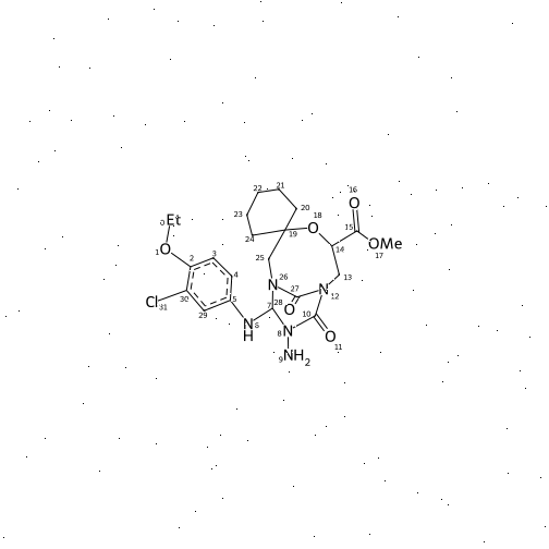 CCOc1ccc(NC2N(N)C(=O)N3CC(C(=O)OC)OC4(CCCCC4)CN2C3=O)cc1Cl